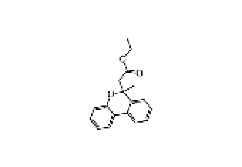 CCOC(=O)CC1(C)Oc2ccccc2-c2ccccc21